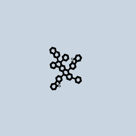 c1ccc(-c2ccc3c(-c4ccc5c(c4)sc4ccccc45)c4cc5c(cc4c(-c4ccc6c(c4)sc4ccccc46)c3c2)c(-c2ccccc2)c(-c2ccc3ccccc3c2)c2ccccc25)cc1